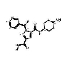 CNC(=O)c1cc(C(=O)NC2CCC(O)CC2)n(C(C)c2ccccc2)n1